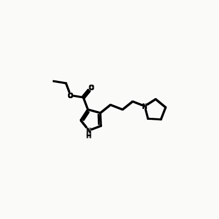 CCOC(=O)c1c[nH]cc1CCCN1CCCC1